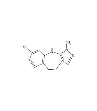 Cn1ncc2c1Nc1cc(Cl)ccc1CC2